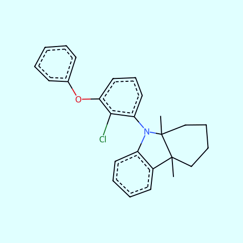 CC12CCCCC1(C)N(c1cccc(Oc3ccccc3)c1Cl)c1ccccc12